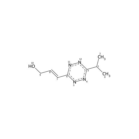 CC(C)c1nnc(/C=C/CO)nn1